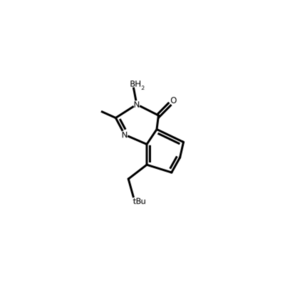 Bn1c(C)nc2c(CC(C)(C)C)cccc2c1=O